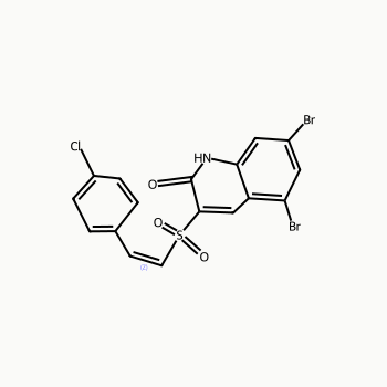 O=c1[nH]c2cc(Br)cc(Br)c2cc1S(=O)(=O)/C=C\c1ccc(Cl)cc1